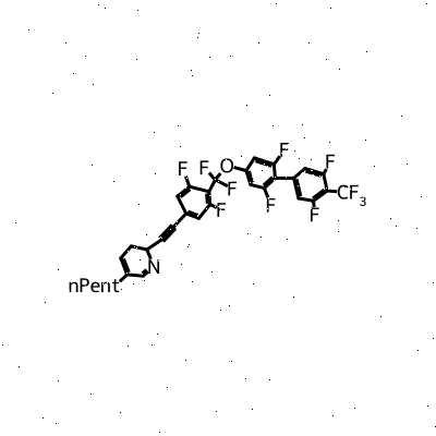 CCCCCC1=CCC(C#Cc2cc(F)c(C(F)(F)Oc3cc(F)c(-c4cc(F)c(C(F)(F)F)c(F)c4)c(F)c3)c(F)c2)N=C1